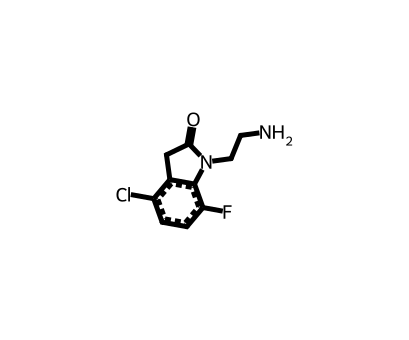 NCCN1C(=O)Cc2c(Cl)ccc(F)c21